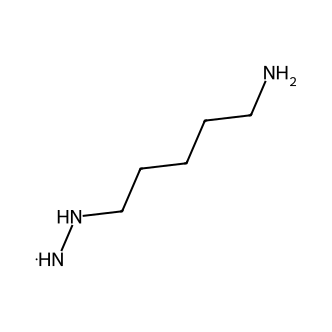 [NH]NCCCCCN